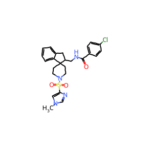 Cn1cnc(S(=O)(=O)N2CCC3(CC2)c2ccccc2CC3CNC(=O)c2ccc(Cl)cc2)c1